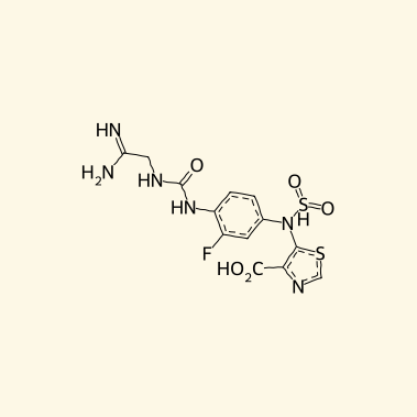 N=C(N)CNC(=O)Nc1ccc(N(c2scnc2C(=O)O)[SH](=O)=O)cc1F